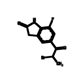 CC(Br)C(=O)c1cc(F)c2c(c1)CC(=O)N2